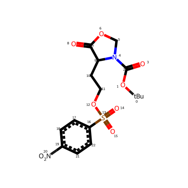 CC(C)(C)OC(=O)N1COC(=O)C1CCOS(=O)(=O)c1ccc([N+](=O)[O-])cc1